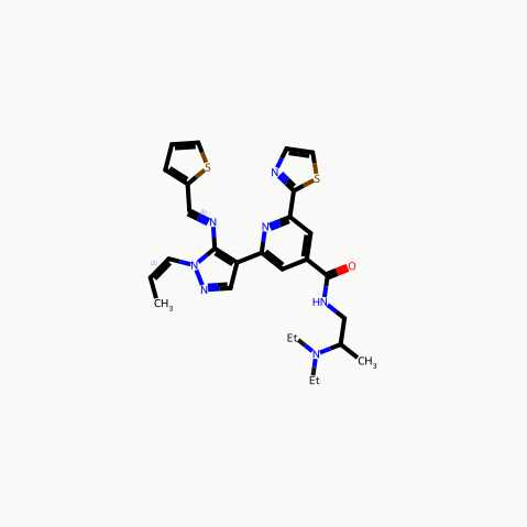 C/C=C\n1ncc(-c2cc(C(=O)NCC(C)N(CC)CC)cc(-c3nccs3)n2)c1/N=C/c1cccs1